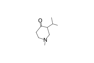 CC(C)C1CN(C)CCC1=O